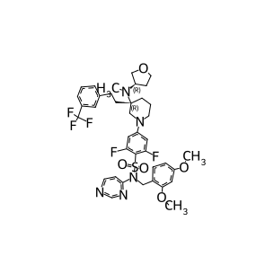 COc1ccc(CN(c2ccncn2)S(=O)(=O)c2c(F)cc(N3CCC[C@@](CCc4cccc(C(F)(F)F)c4)(N(C)[C@@H]4CCOC4)C3)cc2F)c(OC)c1